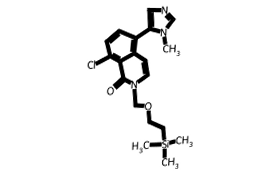 Cn1cncc1-c1ccc(Cl)c2c(=O)n(COCC[Si](C)(C)C)ccc12